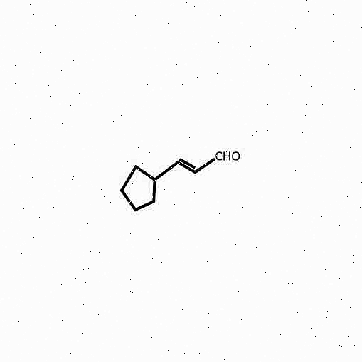 O=CC=CC1CCCC1